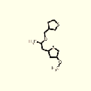 COC1CSC(CC(C)OCC2CCSC2)C1